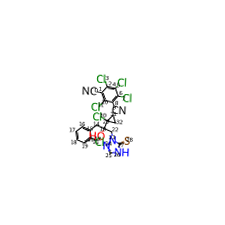 N#Cc1c(Cl)c(Cl)c(Cl)c(C#N)c1Cl.OC(Cc1ccccc1Cl)(Cn1nc[nH]c1=S)C1(Cl)CC1